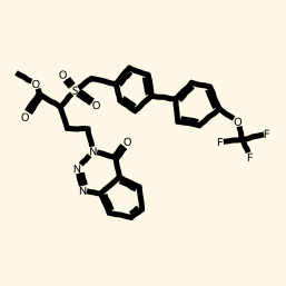 COC(=O)C(CCn1nnc2ccccc2c1=O)S(=O)(=O)Cc1ccc(-c2ccc(OC(F)(F)F)cc2)cc1